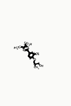 Cc1nc(-c2ccc(OCC(C)CO)c(C#N)c2)sc1C(=O)O